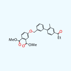 CCC(=O)c1ccc(-c2cccc(COc3ccc(C(=O)OC)c(C(=O)OC)c3)c2)c(C)c1